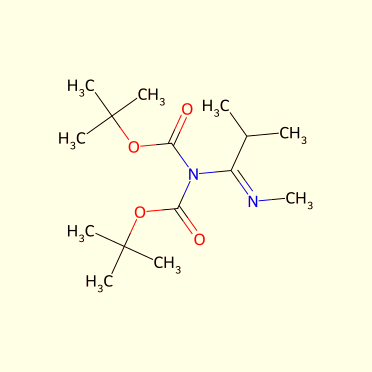 C/N=C(\C(C)C)N(C(=O)OC(C)(C)C)C(=O)OC(C)(C)C